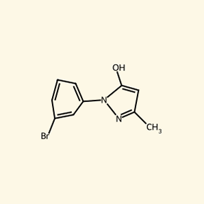 Cc1cc(O)n(-c2cccc(Br)c2)n1